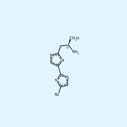 N#Cc1csc(-c2csc(C[C@H](N)C(=O)O)n2)n1